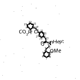 CCCCCCCN(CCc1ccccc1OC)C(=O)Cc1ccc(OCc2ccccc2C(=O)O)cc1